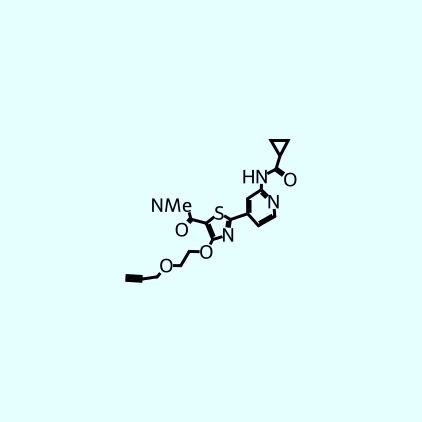 C#CCOCCOc1nc(-c2ccnc(NC(=O)C3CC3)c2)sc1C(=O)NC